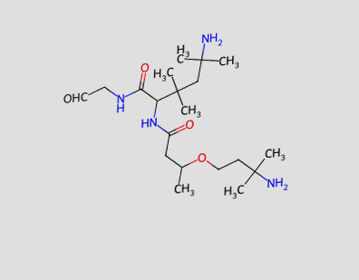 CC(CC(=O)NC(C(=O)NCC=O)C(C)(C)CC(C)(C)N)OCCC(C)(C)N